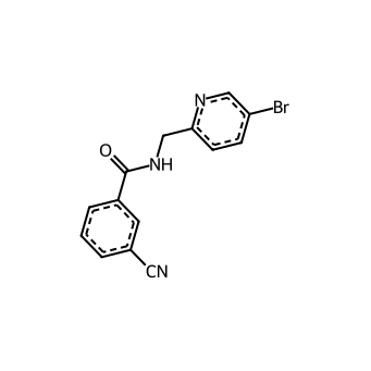 N#Cc1cccc(C(=O)NCc2ccc(Br)cn2)c1